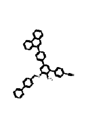 N#Cc1ccc(-c2cc(-c3ccc(-c4cc5ccccc5c5ccccc45)cc3)cc(OCc3ccc(-c4ccccc4)cc3)c2N)cc1